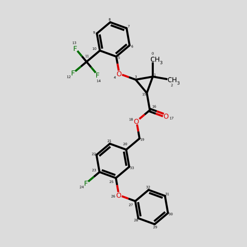 CC1(C)C(Oc2ccccc2C(F)(F)F)C1C(=O)OCc1ccc(F)c(Oc2ccccc2)c1